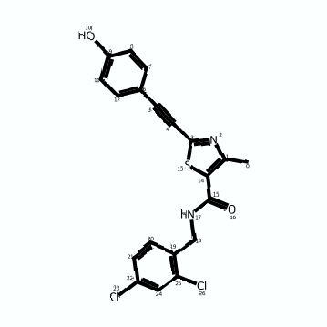 Cc1nc(C#Cc2ccc(O)cc2)sc1C(=O)NCc1ccc(Cl)cc1Cl